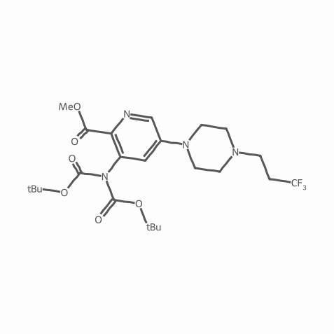 COC(=O)c1ncc(N2CCN(CCC(F)(F)F)CC2)cc1N(C(=O)OC(C)(C)C)C(=O)OC(C)(C)C